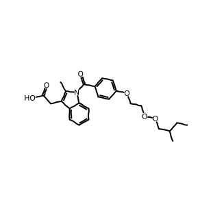 CCC(C)COOCCOc1ccc(C(=O)n2c(C)c(CC(=O)O)c3ccccc32)cc1